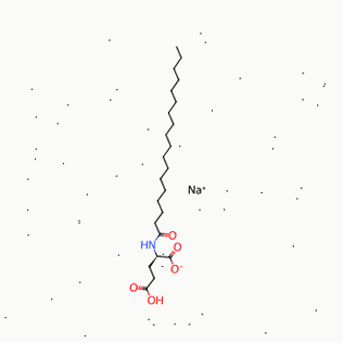 CCCCCCCCCCCCCCCCCC(=O)N[C@H](CCC(=O)O)C(=O)[O-].[Na+]